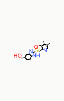 Cc1cnc(C[S@+]([O-])c2nc3cc(CO)ccc3[nH]2)c(C)c1C